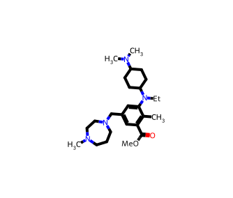 CCN(c1cc(CN2CCCN(C)CC2)cc(C(=O)OC)c1C)C1CCC(N(C)C)CC1